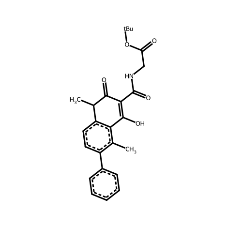 Cc1c(-c2ccccc2)ccc2c1C(O)=C(C(=O)NCC(=O)OC(C)(C)C)C(=O)C2C